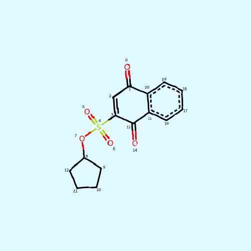 O=C1C=C(S(=O)(=O)OC2CCCC2)C(=O)c2ccccc21